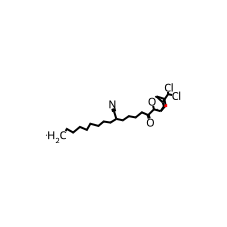 [CH2]CCCCCCCCC(C#N)CCCCC(=O)[C]1OC2CCC1CC2C(Cl)Cl